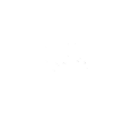 CS(=O)(=O)c1ccc(-n2ccc(=O)c(C3CC=NN3c3ccccc3)n2)cc1